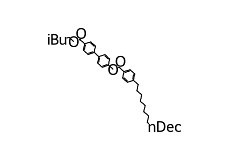 CCCCCCCCCCCCCCCCCCc1ccc(C(=O)Oc2ccc(-c3ccc(C(=O)OCC(C)CC)cc3)cc2)cc1